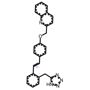 C(=C\c1ccccc1Cc1nnn[nH]1)/c1ccc(OCc2ccc3ccccc3n2)cc1